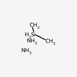 C[SiH2]C.N.N